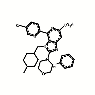 CC1CCC(Cn2c(N3CCOC[C@H]3c3ccccc3)nc3cc(C(=O)O)nc(-c4ccc(Cl)cn4)c32)CC1